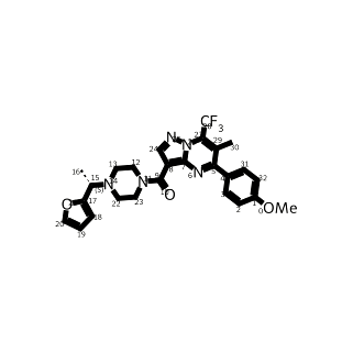 COc1ccc(-c2nc3c(C(=O)N4CCN([C@@H](C)c5ccco5)CC4)cnn3c(C(F)(F)F)c2C)cc1